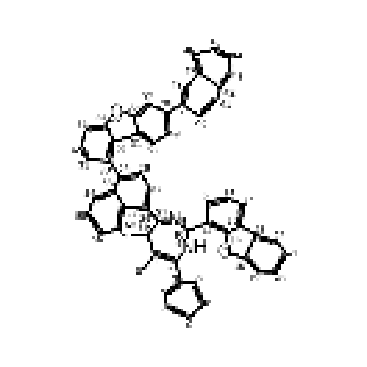 CC1=C(c2ccccc2)NC(c2cccc3c2oc2ccccc23)N=C(c2ccc(-c3cccc4oc5cc(-c6ccc7ccccc7c6)ccc5c34)c3ccccc23)C1C